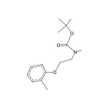 Cc1ccccc1OCCN(C)C(=O)OC(C)(C)C